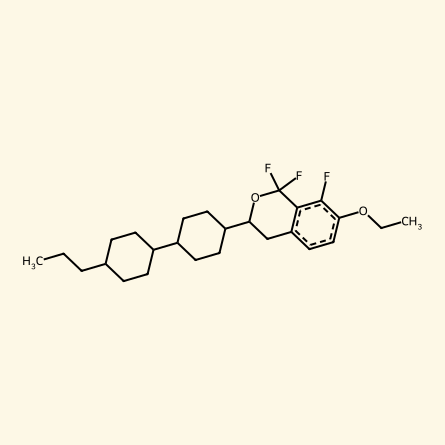 CCCC1CCC(C2CCC(C3Cc4ccc(OCC)c(F)c4C(F)(F)O3)CC2)CC1